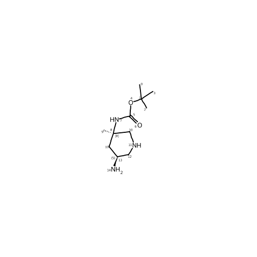 CC(C)(C)OC(=O)N[C@@]1(C)CNC[C@@H](N)C1